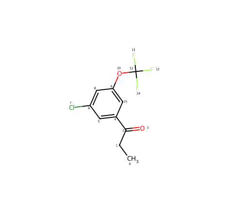 CCC(=O)c1cc(Cl)cc(OC(F)(F)F)c1